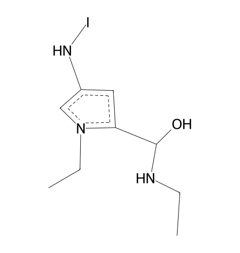 CCNC(O)c1cc(NI)cn1CC